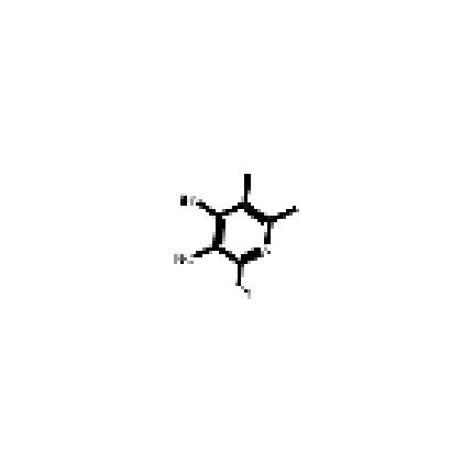 Cc1nc(C(C)C)c(C#N)c(C(C)C)c1C